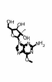 COc1nc(N)nc2c1ncn2C1OC(CO)[C@@H](O)[C@@]1(C)O